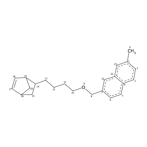 Cc1ccc2ccc(COCCCCC3CC4C=CC3C4)cc2c1